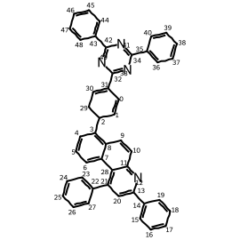 C1=CC(c2cccc3c2ccc2nc(-c4ccccc4)cc(-c4ccccc4)c23)CC=C1c1nc(-c2ccccc2)nc(-c2ccccc2)n1